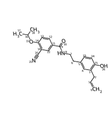 C=CCc1cc(CCNC(=O)c2ccc(OC(C)C)c(C#N)c2)ccc1O